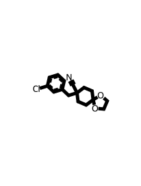 N#CC1(Cc2cccc(Cl)c2)CCC2(CC1)OCCO2